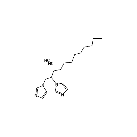 CCCCCCCCCCC(Cn1ccnc1)n1ccnc1.Cl.Cl